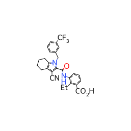 CCc1c(NC(=O)c2c(C#N)c3c(n2Cc2cccc(C(F)(F)F)c2)CCCC3)cccc1C(=O)O